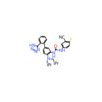 CC(C)CN(CC(C)C)c1ccc(-c2ccccc2-c2nnn[nH]2)cc1NC(=O)Nc1ccc(F)c(C#N)c1